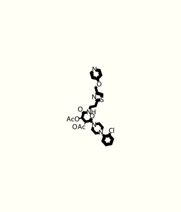 CC(=O)O[C@@H](C(=O)NCCc1nc(COc2ccncc2)cs1)[C@@H](OC(C)=O)C(=O)N1CCN(c2ccccc2Cl)CC1